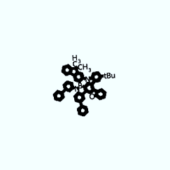 CC(C)(C)c1ccc2c(c1)c1c3c(oc4ccccc43)c3c4c1n2-c1cc2c(cc1B4N(c1cccc(-c4ccccc4)c1)c1ccc(-c4ccccc4)cc1-3)-c1ccccc1C2(C)C